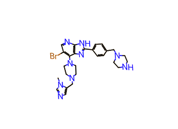 Cn1cncc1CN1CCN(c2c(Br)cnc3[nH]c(-c4ccc(CN5CCNCC5)cc4)nc23)CC1